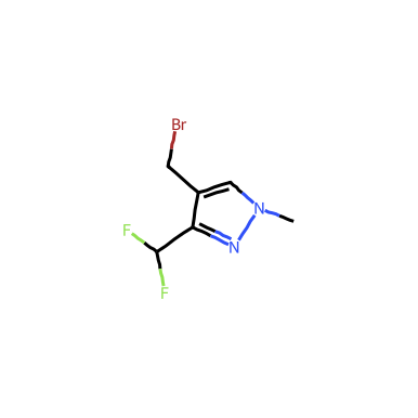 Cn1cc(CBr)c(C(F)F)n1